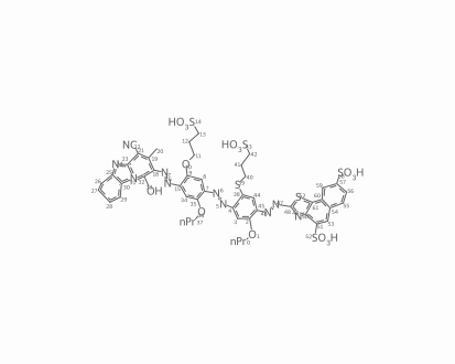 CCCOc1cc(N=Nc2cc(OCCCS(=O)(=O)O)c(N=Nc3c(C)c(C#N)c4nc5ccccc5n4c3O)cc2OCCC)c(SCCCS(=O)(=O)O)cc1N=Nc1nc2c(S(=O)(=O)O)cc3ccc(S(=O)(=O)O)cc3c2s1